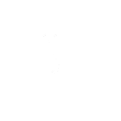 C[SiH2]CCCCCCC(Cl)Cl